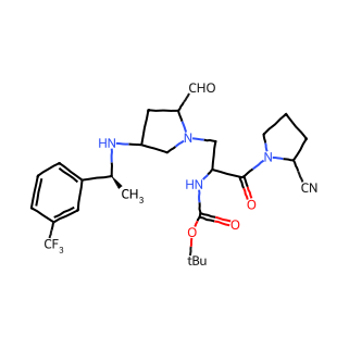 C[C@H](NC1CC(C=O)N(CC(NC(=O)OC(C)(C)C)C(=O)N2CCCC2C#N)C1)c1cccc(C(F)(F)F)c1